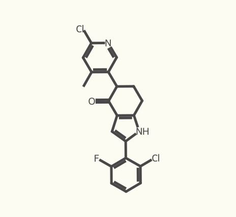 Cc1cc(Cl)ncc1C1CCc2[nH]c(-c3c(F)cccc3Cl)cc2C1=O